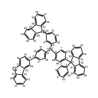 c1ccc(C2(c3ccc(N(c4ccc(-c5ccc6oc7ccccc7c6c5)cc4)c4cccc(-n5c6ccccc6c6ccccc65)c4)cc3)c3ccccc3-c3ccccc32)cc1